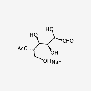 CC(=O)O[C@@H](CO)[C@@H](O)[C@H](O)[C@@H](O)C=O.[NaH]